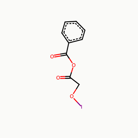 O=C(COI)OC(=O)c1ccccc1